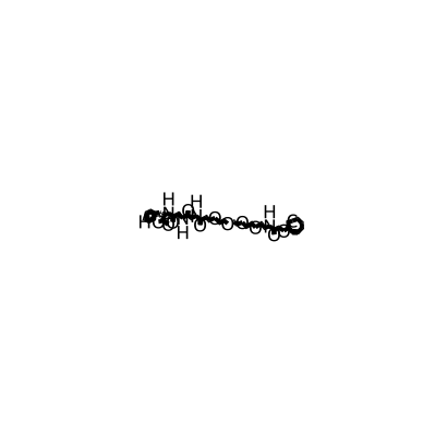 O=C(CCOCCOCCOCCOCCNC(=O)COC1C#CCCCCC1)NCC(=O)NCC(=O)N[C@@H](Cc1ccccc1)C(=O)O